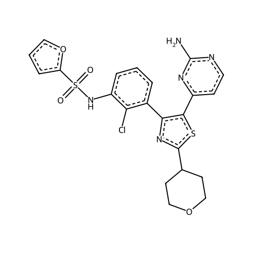 Nc1nccc(-c2sc(C3CCOCC3)nc2-c2cccc(NS(=O)(=O)c3ccco3)c2Cl)n1